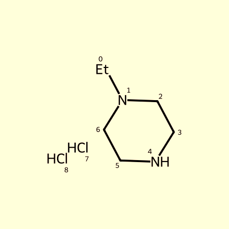 CCN1CCNCC1.Cl.Cl